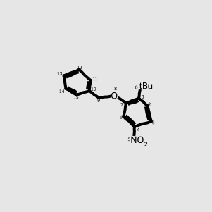 CC(C)(C)c1ccc([N+](=O)[O-])cc1OCc1ccccc1